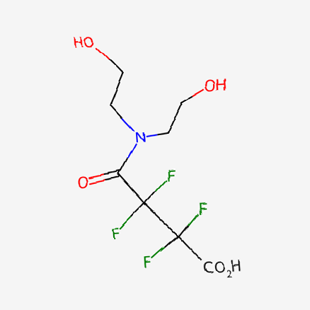 O=C(O)C(F)(F)C(F)(F)C(=O)N(CCO)CCO